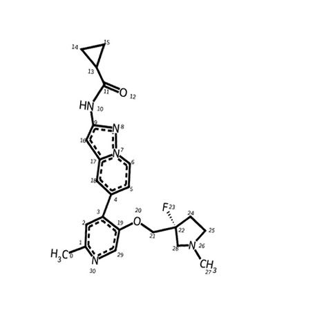 Cc1cc(-c2ccn3nc(NC(=O)C4CC4)cc3c2)c(OC[C@@]2(F)CCN(C)C2)cn1